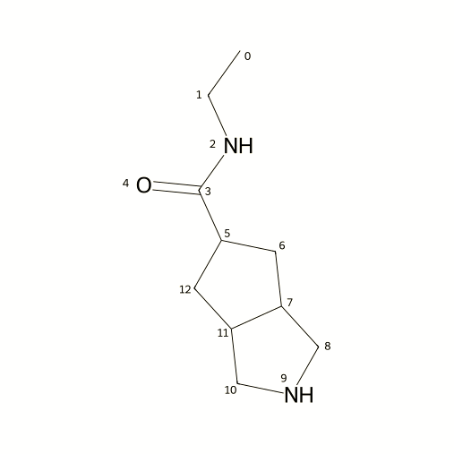 CCNC(=O)C1CC2CNCC2C1